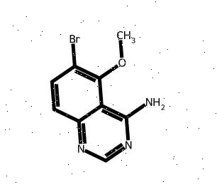 COc1c(Br)ccc2ncnc(N)c12